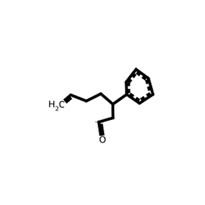 C=CCCC(C[C]=O)c1ccccc1